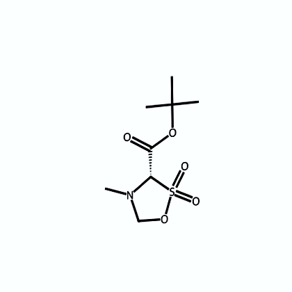 CN1COS(=O)(=O)[C@H]1C(=O)OC(C)(C)C